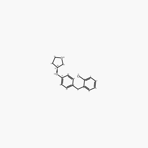 Clc1cc[c]cc1Cc1ccc(O[C@H]2CCOC2)cc1